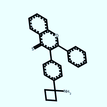 NC1(c2ccc(-c3c(-c4ccccc4)oc4ccccc4c3=S)cc2)CCC1